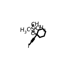 C[Si](C)(C)OC1(C#CI)CCCCC1